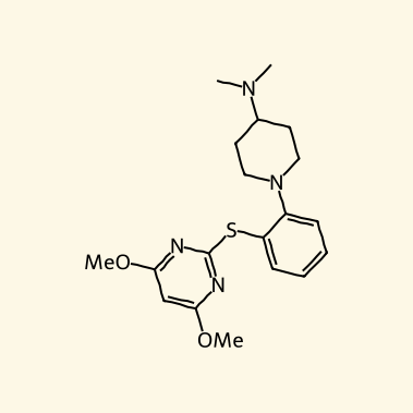 COc1cc(OC)nc(Sc2ccccc2N2CCC(N(C)C)CC2)n1